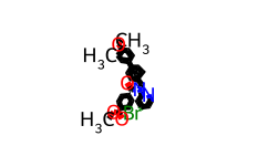 COc1ccc(C23CCC(CN(c4cc(Br)ccn4)C(=O)[C@H]4CC[C@H](C(=O)OC)CC4)(CC2)CC3)cc1C